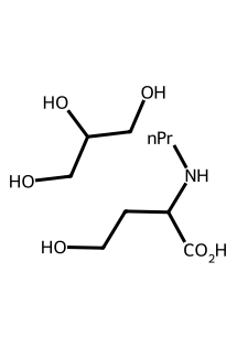 CCCNC(CCO)C(=O)O.OCC(O)CO